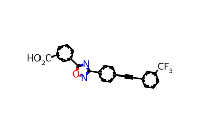 O=C(O)c1cccc(-c2nc(-c3ccc(C#Cc4cccc(C(F)(F)F)c4)cc3)no2)c1